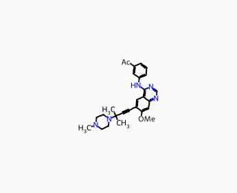 COc1cc2ncnc(Nc3cccc(C(C)=O)c3)c2cc1C#CC(C)(C)N1CCN(C)CC1